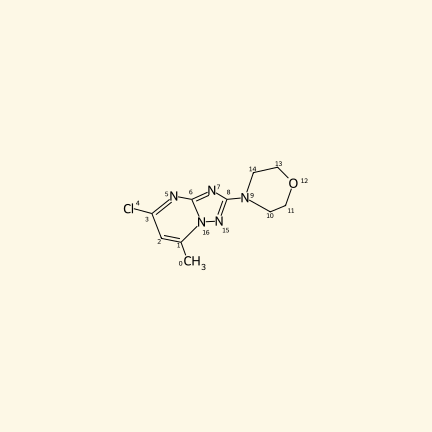 Cc1cc(Cl)nc2nc(N3CCOCC3)nn12